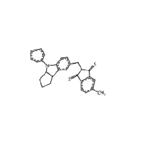 Cc1ccc2c(c1)C(=S)C(Cc1ccc3c(c1)C1CCCC1N3c1ccccc1)C2=S